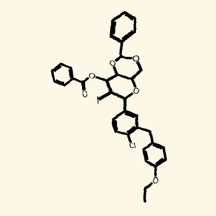 CCOc1ccc(Cc2cc(C3OC4COC(c5ccccc5)OC4C(OC(=O)c4ccccc4)C3I)ccc2Cl)cc1